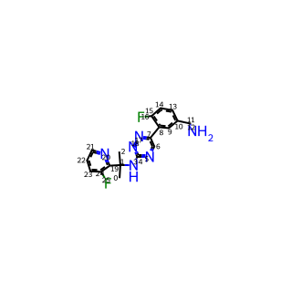 CC(C)(Nc1ncc(-c2cc(CN)ccc2F)nn1)c1ncccc1F